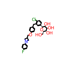 OC[C@H]1O[C@@H](c2ccc(Cl)c(Cc3ccc(OCC4CN(c5ccc(F)cc5)C4)cc3)c2)[C@H](O)[C@@H](O)[C@@H]1O